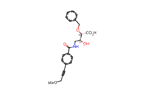 COCC#Cc1ccc(C(=O)NC[C@H](O)[C@H](OCc2ccccc2)C(=O)O)cc1